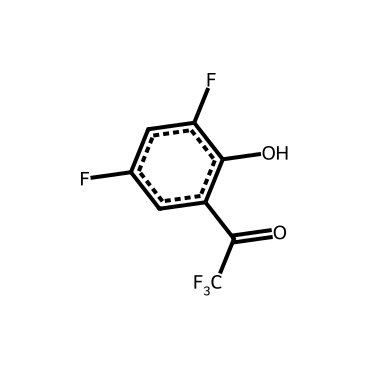 O=C(c1cc(F)cc(F)c1O)C(F)(F)F